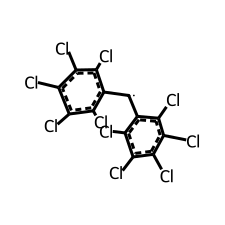 Clc1c(Cl)c(Cl)c([CH]c2c(Cl)c(Cl)c(Cl)c(Cl)c2Cl)c(Cl)c1Cl